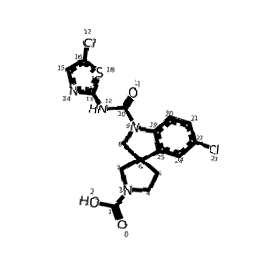 O=C(O)N1CCC2(C1)CN(C(=O)Nc1ncc(Cl)s1)c1ccc(Cl)cc12